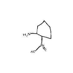 NC1CCCCC1[PH](=O)O